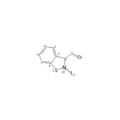 O=CC1c2ccccc2SN1I